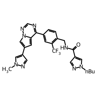 CCCCn1cc(C(=O)NCc2ccc(-c3ncnn4cc(-c5cnn(C)c5)cc34)cc2C(F)(F)F)cn1